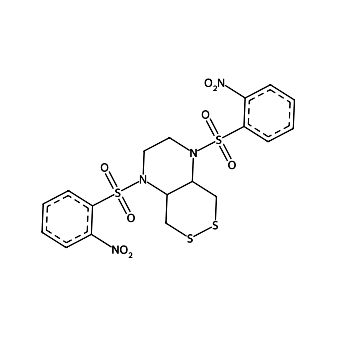 O=[N+]([O-])c1ccccc1S(=O)(=O)N1CCN(S(=O)(=O)c2ccccc2[N+](=O)[O-])C2CSSCC21